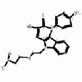 CCN(CC)CCOCCn1c2ccccc2c2c1cc(C#N)c(=O)n2-c1ccc([N+](=O)[O-])cc1